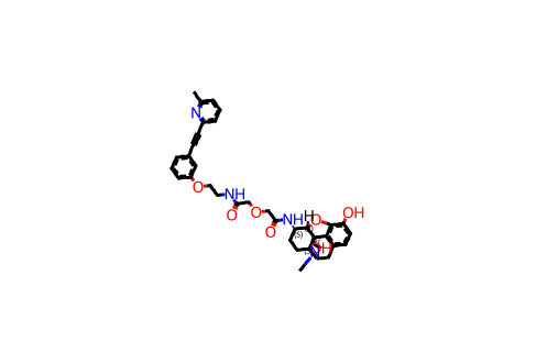 Cc1cccc(C#Cc2cccc(OCCNC(=O)COCC(=O)N[C@H]3CC[C@@]4(O)C5Cc6ccc(O)c7c6[C@@]4(CCN5C)[C@H]3O7)c2)n1